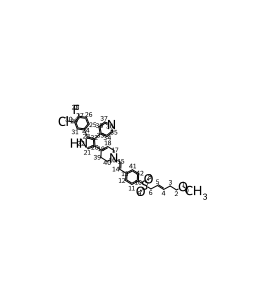 COCCC=CCS(=O)(=O)c1ccc(C=CN2CC=C(c3c[nH]c(-c4ccc(F)c(Cl)c4)c3-c3ccncc3)CC2)cc1